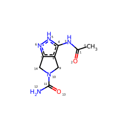 CC(=O)Nc1[nH]nc2c1CN(C(N)=O)C2